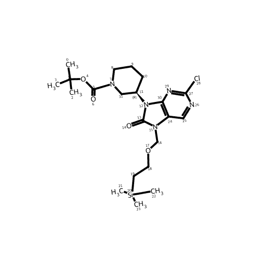 CC(C)(C)OC(=O)N1CCC[C@@H](n2c(=O)n(COCC[Si](C)(C)C)c3cnc(Cl)nc32)C1